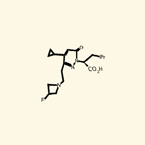 CC(C)C[C@@H](C(=O)O)n1nc(CCN2CC(F)C2)c(C2CC2)cc1=O